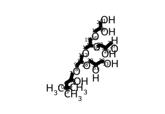 CC(C)(C)CC(O)COCC(COCC(COCC(O)CO)OCC(O)CO)OCC(O)CO